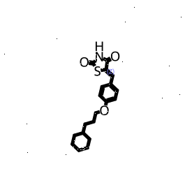 O=C1NC(=O)/C(=C/c2ccc(OCCCC3CCCCC3)cc2)S1